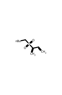 C=CC(=C)S(=O)(=O)CCCCC